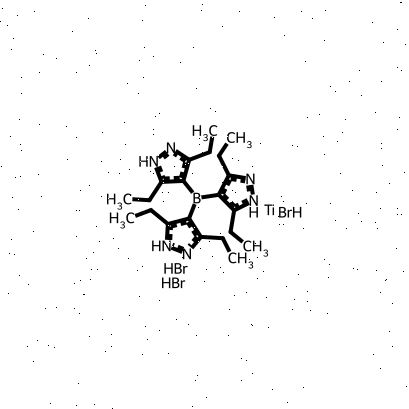 Br.Br.Br.CCc1n[nH]c(CC)c1B(c1c(CC)n[nH]c1CC)c1c(CC)n[nH]c1CC.[Ti]